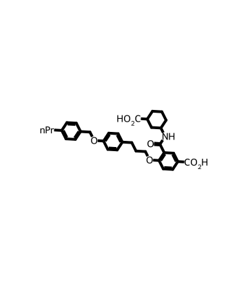 CCCc1ccc(COc2ccc(CCCOc3ccc(C(=O)O)cc3C(=O)NC3CCCC(C(=O)O)C3)cc2)cc1